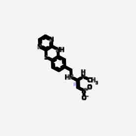 CN/C(=C\[N+](=O)[O-])NCc1ccc2c(c1)Nc1nccnc1S2